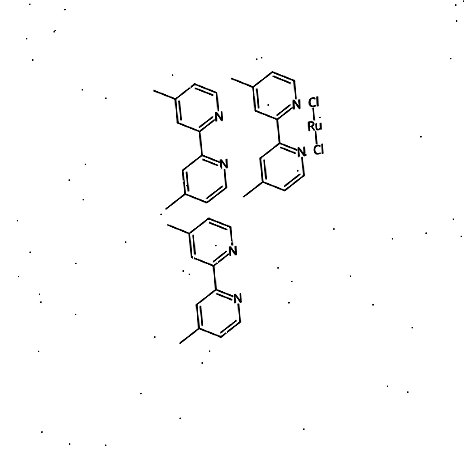 Cc1ccnc(-c2cc(C)ccn2)c1.Cc1ccnc(-c2cc(C)ccn2)c1.Cc1ccnc(-c2cc(C)ccn2)c1.[Cl][Ru][Cl]